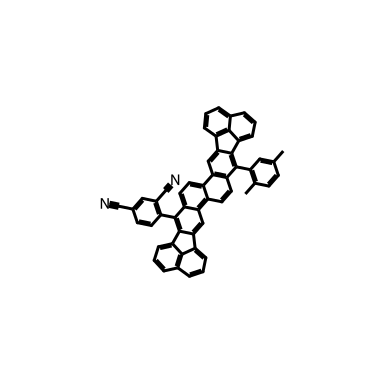 Cc1ccc(C)c(-c2c3c(cc4c2ccc2c5cc6c(c(-c7ccc(C#N)cc7C#N)c5ccc42)-c2cccc4cccc-6c24)-c2cccc4cccc-3c24)c1